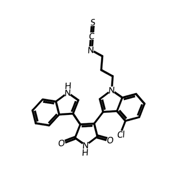 O=C1NC(=O)C(c2cn(CCCN=C=S)c3cccc(Cl)c23)=C1c1c[nH]c2ccccc12